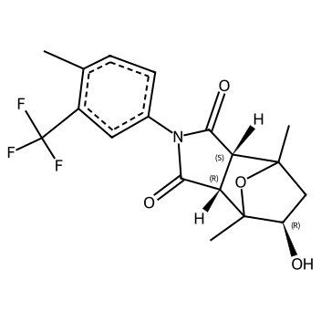 Cc1ccc(N2C(=O)[C@@H]3[C@H](C2=O)C2(C)C[C@@H](O)C3(C)O2)cc1C(F)(F)F